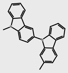 Cc1ccc2c3ccccc3n(-c3ccc4c(c3)c3ccccc3n4C)c2c1